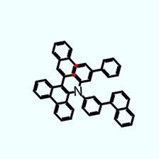 c1ccc(-c2cccc(N(c3cccc(-c4cccc5ccccc45)c3)c3c(-c4ccc5ccccc5c4)c4ccccc4c4ccccc34)c2)cc1